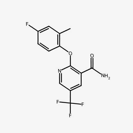 Cc1cc(F)ccc1Oc1ncc(C(F)(F)F)cc1C(N)=O